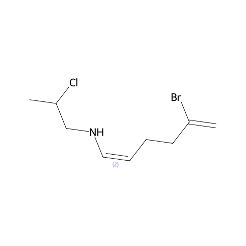 C=C(Br)CC/C=C\NCC(C)Cl